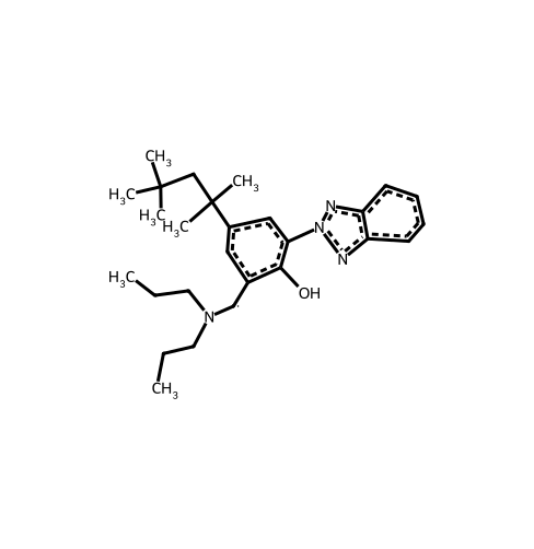 CCCN([CH]c1cc(C(C)(C)CC(C)(C)C)cc(-n2nc3ccccc3n2)c1O)CCC